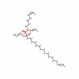 CCCCCCCCCCCCCCCCC(OCC)(OCC)C(=O)OCCCCCC